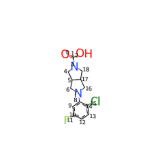 O=C(O)N1CC2CN(c3cc(F)ccc3Cl)CC2C1